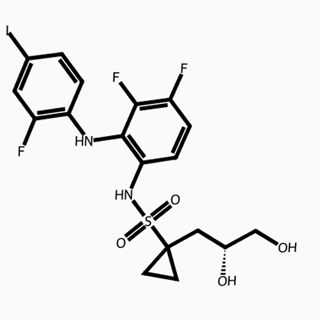 O=S(=O)(Nc1ccc(F)c(F)c1Nc1ccc(I)cc1F)C1(C[C@@H](O)CO)CC1